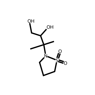 CC(C)(C(O)CO)N1CCCS1(=O)=O